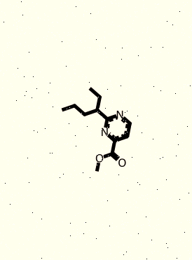 CCCC(CC)c1nccc(C(=O)OC)n1